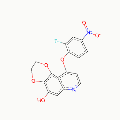 O=[N+]([O-])c1ccc(Oc2ccnc3cc(O)c4c(c23)OCCO4)c(F)c1